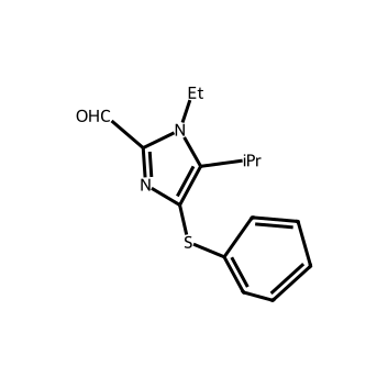 CCn1c(C=O)nc(Sc2ccccc2)c1C(C)C